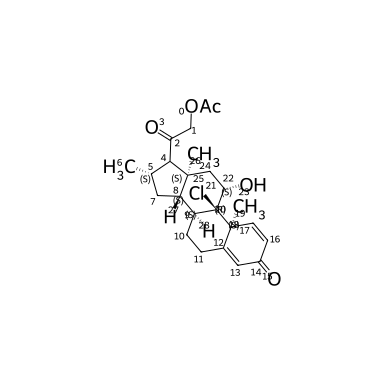 CC(=O)OCC(=O)C1[C@@H](C)C[C@H]2[C@@H]3CCC4=CC(=O)C=C[C@]4(C)[C@@]3(Cl)[C@@H](O)C[C@]12C